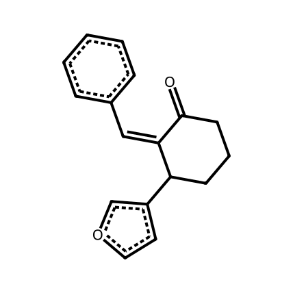 O=C1CCCC(c2ccoc2)C1=Cc1ccccc1